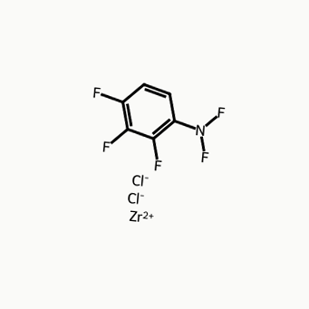 Fc1ccc(N(F)F)c(F)c1F.[Cl-].[Cl-].[Zr+2]